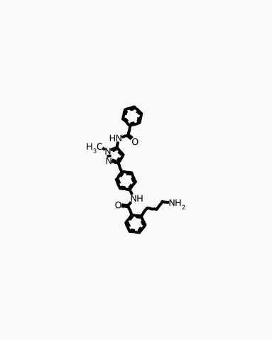 Cn1nc(-c2ccc(NC(=O)c3ccccc3CCCN)cc2)cc1NC(=O)c1ccccc1